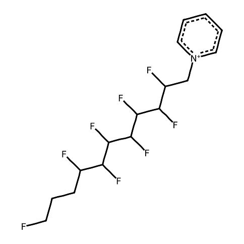 FCCCC(F)C(F)C(F)C(F)C(F)C(F)C(F)C[n+]1ccccc1